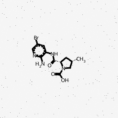 C[C@H]1C[C@@H](C(=O)Nc2cc(Br)cnc2N)N(C(=O)O)C1